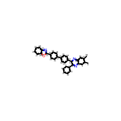 Cc1cc2nc(-c3ccccc3)c(-c3ccc(-c4ccc(-c5nc6ccccc6o5)cc4)cc3)nc2cc1C